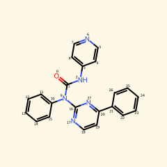 O=C(Nc1ccncc1)N(c1ccccc1)c1nccc(-c2ccccc2)n1